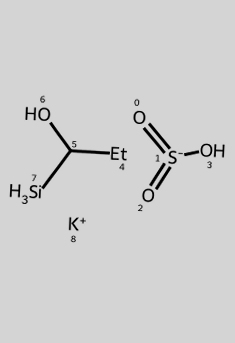 O=[S-](=O)O.[CH2]CC(O)[SiH3].[K+]